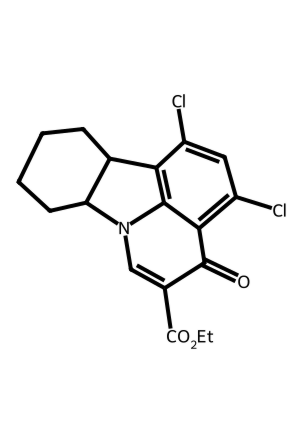 CCOC(=O)c1cn2c3c(c(Cl)cc(Cl)c3c1=O)C1CCCCC12